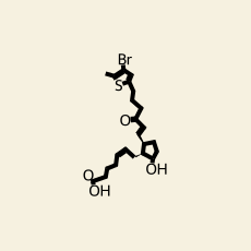 Cc1sc(CCCC(=O)/C=C/[C@H]2CCC(O)[C@@H]2C/C=C\CCCC(=O)O)cc1Br